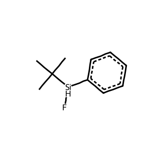 CC(C)(C)[SiH](F)c1ccccc1